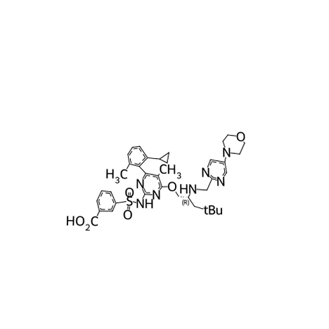 Cc1cccc(C2CC2)c1-c1nc(NS(=O)(=O)c2cccc(C(=O)O)c2)nc(OC[C@@H](CC(C)(C)C)NCc2ncc(N3CCOCC3)cn2)c1C